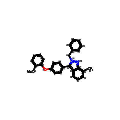 COc1ccccc1Oc1ccc(-c2c3cccc(C(F)(F)F)c3nn2Cc2ccccc2)cc1